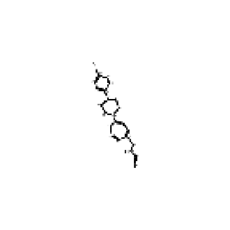 O=CNCC1=CC=C(N2CCC(c3ccc(F)cc3)CC2)CC=C1